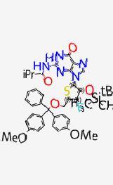 COc1ccc(C(OC[C@H]2S[C@@H](n3cnc4c(=O)[nH]c(NC(=O)C(C)C)nc43)[C@H](O[Si](C)(C)C(C)(C)C)[C@H]2F)(c2ccccc2)c2ccc(OC)cc2)cc1